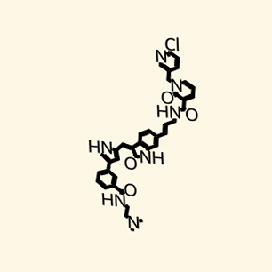 CN(C)CCNC(=O)c1cccc(-c2c[nH]c(C=C3C(=O)Nc4cc(/C=C/CNC(=O)c5cccn(Cc6ccc(Cl)nc6)c5=O)ccc43)c2)c1